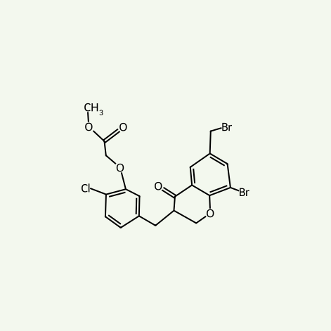 COC(=O)COc1cc(CC2COc3c(Br)cc(CBr)cc3C2=O)ccc1Cl